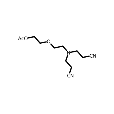 CC(=O)OCCOCCN(CCC#N)CCC#N